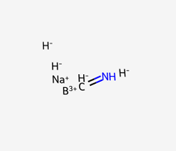 [B+3].[CH-]=N.[H-].[H-].[H-].[Na+]